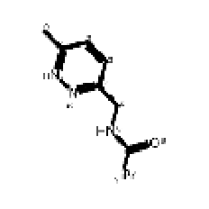 Cc1ccc(CNC(=O)C(C)C)nn1